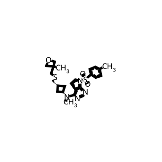 Cc1ccc(S(=O)(=O)n2ccc3c(N(C)[C@H]4C[C@@H](CSCC5(C)COC5)C4)ncnc32)cc1